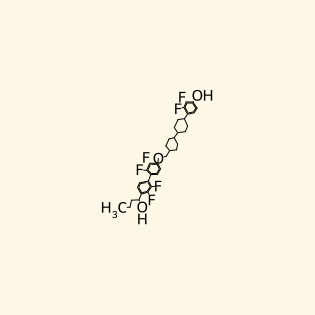 CCCC(O)c1ccc(-c2ccc(OCC3CCC(C4CCC(c5ccc(O)c(F)c5F)CC4)CC3)c(F)c2F)c(F)c1F